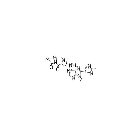 CCn1c(-c2cnc(C)nc2)nc2c(NC3C[C@@H](C(=O)NC(=O)C4CC4)N(C)C3)ncnc21